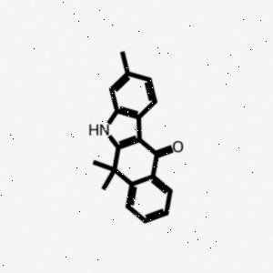 Cc1ccc2c3c([nH]c2c1)C(C)(C)c1ccccc1C3=O